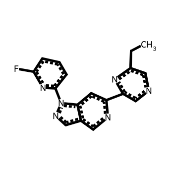 CCc1cncc(-c2cc3c(cn2)cnn3-c2cccc(F)n2)n1